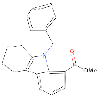 COC(=O)c1cccc2c3c(n(Cc4ccccc4)c12)CCCC3